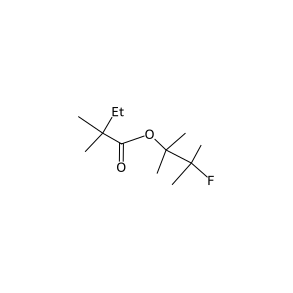 CCC(C)(C)C(=O)OC(C)(C)C(C)(C)F